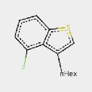 [CH2]CCCCCc1csc2cccc(F)c12